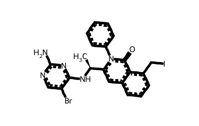 C[C@H](Nc1nc(N)ncc1Br)c1cc2cccc(CI)c2c(=O)n1-c1ccccc1